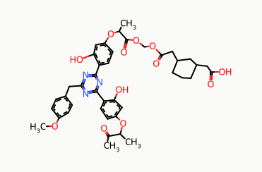 COc1ccc(Cc2nc(-c3ccc(OC(C)C(C)=O)cc3O)nc(-c3ccc(OC(C)C(=O)OCOC(=O)CC4CCCC(CC(=O)O)C4)cc3O)n2)cc1